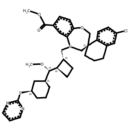 COC(=O)c1ccc2c(c1)N(C[C@@H]1CC[C@H]1[C@@H](OC)[C@H]1CCC[C@@H](Sc3ncccn3)C1)C[C@@]1(CCCc3cc(Cl)ccc31)CO2